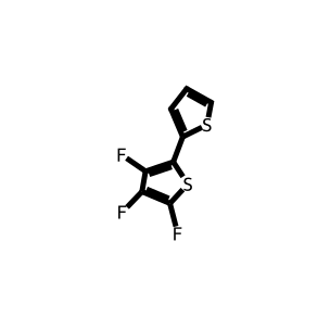 Fc1sc(-c2cccs2)c(F)c1F